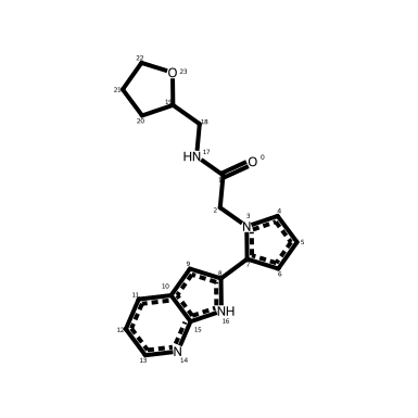 O=C(Cn1cccc1-c1cc2cccnc2[nH]1)NCC1CCCO1